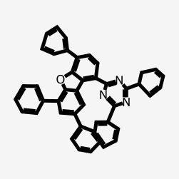 C1=CCC(c2nc(-c3ccccc3)nc(-c3ccc(-c4ccccc4)c4oc5c(-c6ccccc6)cc(-c6ccccc6)cc5c34)n2)C=C1